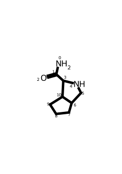 NC(=O)C1NCC2CCCC21